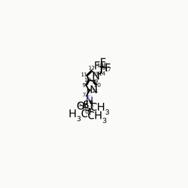 CC(C)(C)[S@@+]([O-])/N=C/c1cc2ccn(CC(F)(F)F)c2cn1